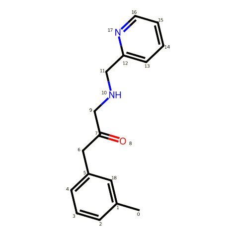 Cc1cccc(CC(=O)CNCc2ccccn2)c1